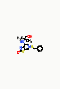 CC(C)(CO)Nc1cn(SCc2ccccc2)cc2sc(=O)nc1-2